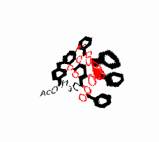 CC(=O)OCc1ccc(Cc2ccc(C(C)=O)cc2)c(O[C@@H]2O[C@H]([C@@H](C)OC(=O)c3ccccc3)[C@@H](OC(=O)c3ccccc3)[C@H](OC(=O)c3ccccc3)[C@H]2OC(=O)c2ccccc2)c1